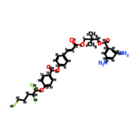 CC(C)(COC(=O)C=Cc1ccc(OC(=O)c2ccc(OC(F)C(F)CCCF)cc2)cc1)COC(=O)c1cc(N)cc(N)c1